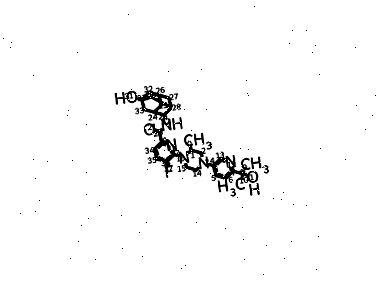 CC1CN(c2ccc(C(C)(C)O)nc2)CCN1c1nc(C(=O)NC2C3CC4CC2CC(O)(C4)C3)ccc1F